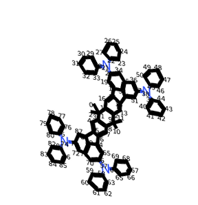 CC1(C)c2cc3c(cc2C(C)(C)c2cc4c(cc21)-c1cc(N(c2ccccc2)c2ccccc2)cc2cc(N(c5ccccc5)c5ccccc5)cc-4c12)-c1cc(N(c2ccccc2)c2ccccc2)cc2cc(N(c4ccccc4)c4ccccc4)cc-3c12